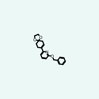 C1=C(c2cccc(OCc3ccccc3)n2)CCC2(C1)OCCO2